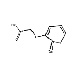 O=C(O)COC1=CC=CCC1=S